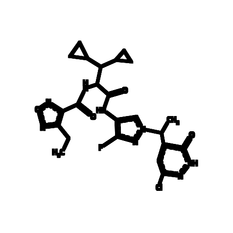 CCc1nonc1C(=O)NC(C(=O)Nc1cn(C(C)c2cc(Cl)n[nH]c2=O)nc1F)C(C1CC1)C1CC1